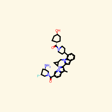 Cc1c(-c2cc3cccc(C4CCN(C(=O)[C@H]5CC[C@H](O)CC5)CC4)c3n2CC2CC2)nn2cc(C(=O)N3C[C@H](N)C[C@@H](F)C3)ccc12